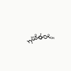 CC(C)CC(=S)NCC1CN(c2ccc(N3CCN(C(=O)CO)CC3)c(F)c2)C(=O)O1